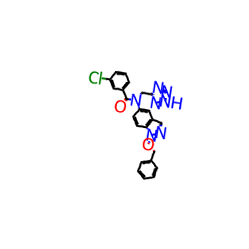 O=C(c1cccc(Cl)c1)N(Cc1nn[nH]n1)c1ccc2c(cnn2OCc2ccccc2)c1